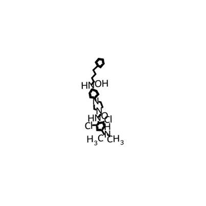 CNC(C)c1cc(Cl)c(NC(=O)N2CCN(c3ccc(NC(O)CCCc4ccccc4)cc3)CC2)c(Cl)c1